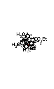 CCOC(=O)CC(c1ccc(C)c(CN2CC(C)Oc3ccccc3S2(=O)=O)c1)c1ccc2c(nnn2C)c1C